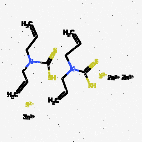 C=CCN(CC=C)C(=S)S.C=CCN(CC=C)C(=S)S.[S-2].[S-2].[Zn+2].[Zn+2].[Zn+2]